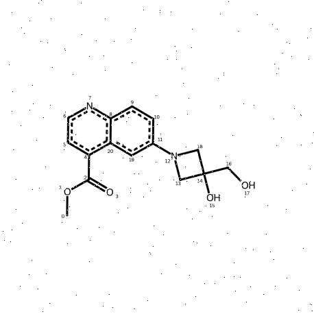 COC(=O)c1ccnc2ccc(N3CC(O)(CO)C3)cc12